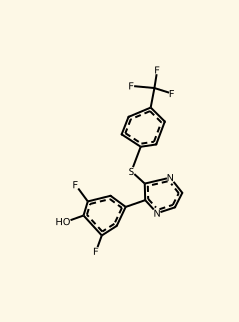 Oc1c(F)cc(-c2nccnc2Sc2ccc(C(F)(F)F)cc2)cc1F